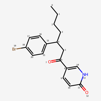 CCCCC(CC(=O)c1ccc(=O)[nH]c1)c1ccc(Br)cc1